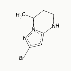 CC1CCNc2cc(Br)nn21